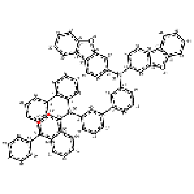 c1ccc(-c2ccccc2N(c2cccc(-c3cccc(N(c4ccc5c(c4)oc4ccccc45)c4ccc5c(c4)oc4ccccc45)c3)c2)c2ccc(-c3ccccc3)c3ccccc23)cc1